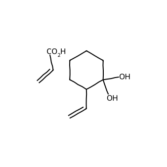 C=CC(=O)O.C=CC1CCCCC1(O)O